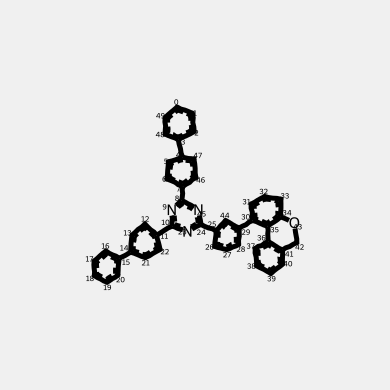 c1ccc(-c2ccc(-c3nc(-c4ccc(-c5ccccc5)cc4)nc(-c4cccc(-c5cccc6c5-c5ccccc5CO6)c4)n3)cc2)cc1